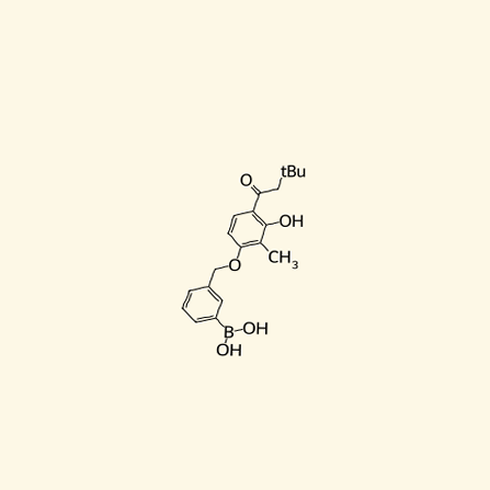 Cc1c(OCc2cccc(B(O)O)c2)ccc(C(=O)CC(C)(C)C)c1O